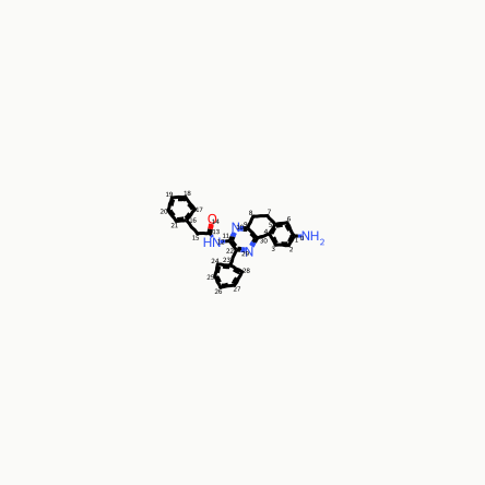 Nc1ccc2c(c1)CCc1nc(NC(=O)Cc3ccccc3)c(-c3ccccc3)nc1-2